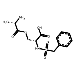 C[C@H](N)C(=O)OC[C@@H](NS(=O)(=O)Cc1ccccc1)C(=O)O